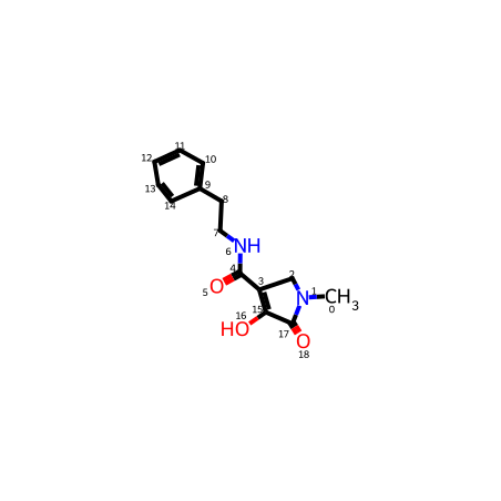 CN1CC(C(=O)NCCc2ccccc2)=C(O)C1=O